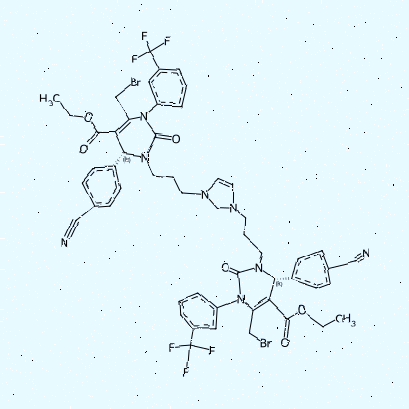 CCOC(=O)C1=C(CBr)N(c2cccc(C(F)(F)F)c2)C(=O)N(CCCN2C=CN(CCCN3C(=O)N(c4cccc(C(F)(F)F)c4)C(CBr)=C(C(=O)OCC)[C@H]3c3ccc(C#N)cc3)C2)[C@@H]1c1ccc(C#N)cc1